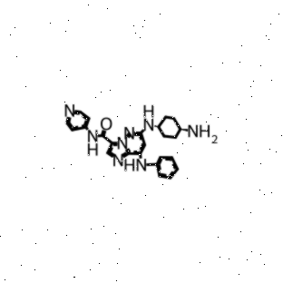 N[C@H]1CC[C@H](Nc2cc(Nc3ccccc3)c3ncc(C(=O)Nc4ccncc4)n3n2)CC1